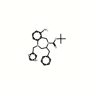 CC(C)(C)OC(=O)N1Cc2c(N)cccc2N(Cc2c[nH]cn2)CC1Cc1ccccc1